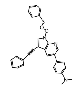 CN(C)c1ccc(-c2cnc3c(c2)c(C#Cc2ccccc2)cn3OOSc2ccccc2)cc1